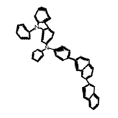 c1ccc(N(c2ccc(-c3ccc4ccc(-c5ccc6ccccc6c5)cc4c3)cc2)c2ccc3c4ccccc4n(-c4ccccc4)c3c2)cc1